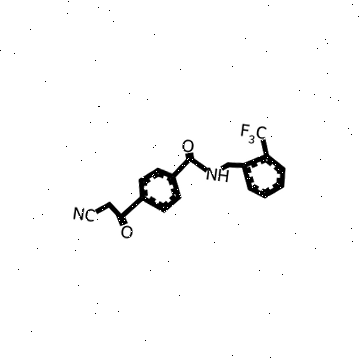 N#CCC(=O)c1ccc(C(=O)NCc2ccccc2C(F)(F)F)cc1